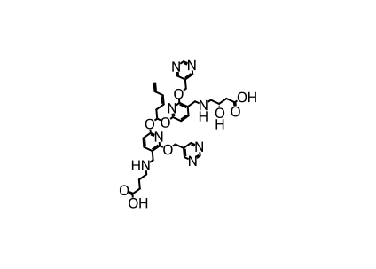 C=C/C=C\CC(Oc1ccc(CNCCCC(=O)O)c(OCc2cncnc2)n1)Oc1ccc(CNC[C@@H](O)CC(=O)O)c(OCc2cncnc2)n1